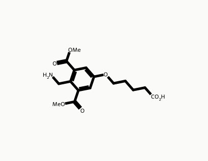 COC(=O)c1cc(OCCCCC(=O)O)cc(C(=O)OC)c1CN